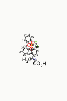 C/C(=C\C(=O)O)c1ccc(C(F)(F)P(=O)(Oc2ccccc2)Oc2ccccc2)cc1